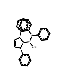 CCCCN(P(c1ccccc1)c1ccccc1)P1[C@@H](c2ccccc2)C=C[C@H]1c1ccccc1